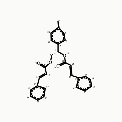 Cc1ccc([C@@H](COC(=O)/C=C/c2ccccc2)OC(=O)/C=C/c2ccccc2)cc1